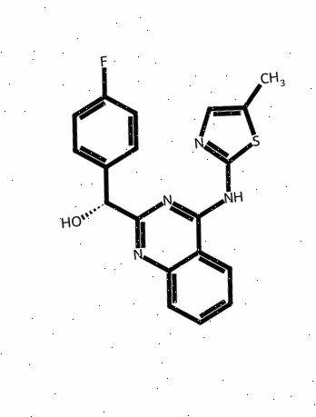 Cc1cnc(Nc2nc([C@H](O)c3ccc(F)cc3)nc3ccccc23)s1